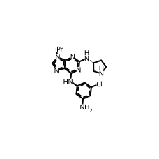 CC(C)n1cnc2c(Nc3cc(N)cc(Cl)c3)nc(N[C@@H]3CCNC3)nc21